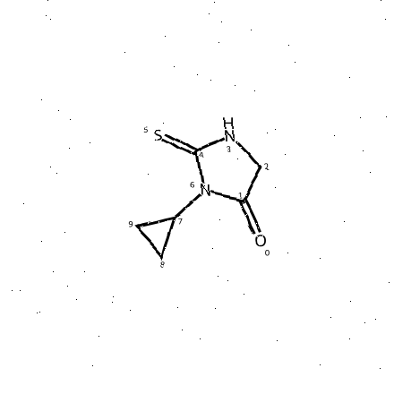 O=C1CNC(=S)N1C1CC1